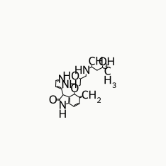 C=C1C=CC2=C(C1OCC(O)CNC(C)CC(C)O)C(c1ccn[nH]1)C(=O)N2